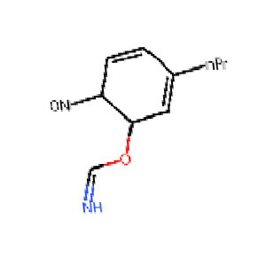 CCCC1=CC(OC=N)C(N=O)C=C1